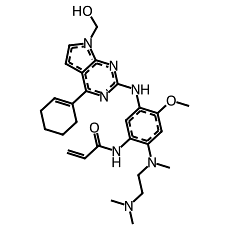 C=CC(=O)Nc1cc(Nc2nc(C3=CCCCC3)c3ccn(CO)c3n2)c(OC)cc1N(C)CCN(C)C